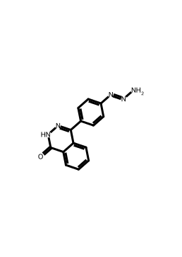 NN=Nc1ccc(-c2n[nH]c(=O)c3ccccc23)cc1